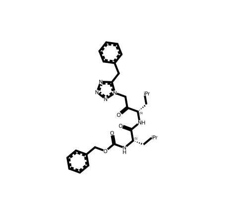 CC(C)C[C@H](NC(=O)[C@H](CC(C)C)NC(=O)OCc1ccccc1)C(=O)Cn1nnnc1Cc1ccccc1